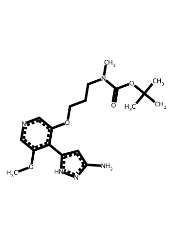 COc1cncc(OCCCN(C)C(=O)OC(C)(C)C)c1-c1cc(N)n[nH]1